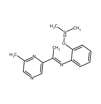 CC(=Nc1ccccc1O[SiH](C)C)c1cncc(C)n1